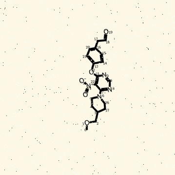 COCC1CCN(c2ncnc(Oc3ccc(CC=O)cc3)c2[N+](=O)[O-])CC1